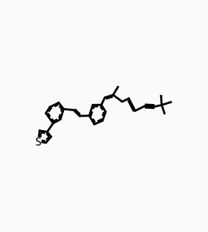 C/C(=C/c1cccc(C=Cc2cccc(-c3ccsc3)c2)c1)C/C=C/C#CC(C)(C)C